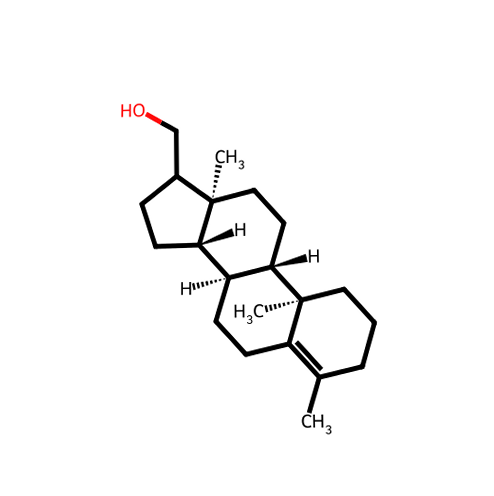 CC1=C2CC[C@@H]3[C@H](CC[C@]4(C)C(CO)CC[C@@H]34)[C@@]2(C)CCC1